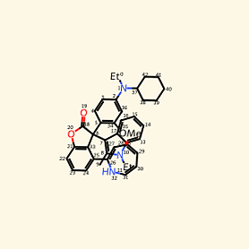 CCN(c1ccc(C2(c3c(C)n(CC)c4ccccc34)C(=O)Oc3cccc(C4=CC=CC=CN4)c32)c(OC)c1)C1CCCCC1